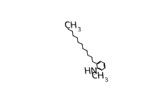 CCCCCCCCCCCCc1ccccc1NC